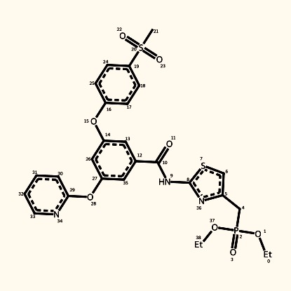 CCOP(=O)(Cc1csc(NC(=O)c2cc(Oc3ccc(S(C)(=O)=O)cc3)cc(Oc3ccccn3)c2)n1)OCC